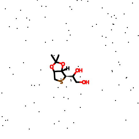 CC1(C)OC2CS[C@@H](C(O)CO)[C@H]2O1